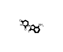 Nc1cccc2c1CN([C@@H]1CCC(=O)NC1=O)C2=S